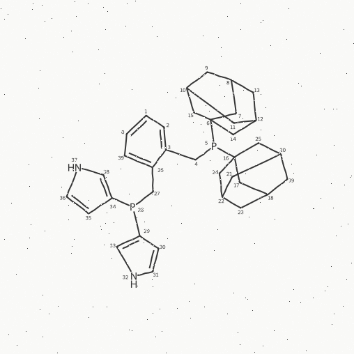 c1ccc(CP(C23CC4CC(CC(C4)C2)C3)C23CC4CC(CC(C4)C2)C3)c(CP(c2cc[nH]c2)c2cc[nH]c2)c1